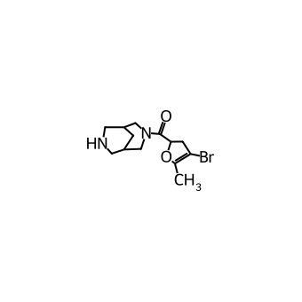 CC1=C(Br)CC(C(=O)N2CC3CNCC(C3)C2)O1